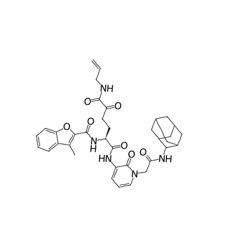 C=CCNC(=O)C(=O)CC[C@H](NC(=O)c1oc2ccccc2c1C)C(=O)Nc1cccn(CC(=O)NC2C3CC4CC(C3)CC2C4)c1=O